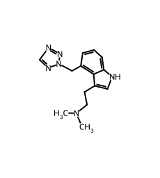 CN(C)CCc1c[nH]c2cccc(Cn3ncnn3)c12